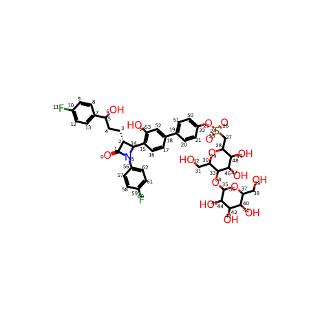 O=C1[C@H](CCC(O)c2ccc(F)cc2)C(c2ccc(-c3ccc(OS(=O)(=O)CC4OC(CO)C(OC5OC(CO)C(O)C(O)C5O)C(O)C4O)cc3)cc2O)N1c1ccc(F)cc1